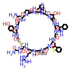 CCCC[C@H]1C(=O)N[C@@H](CCCNC(=N)N)C(=O)NC(C(=O)NCC(N)=O)CSCC(=O)N[C@@H](Cc2ccc(O)cc2)C(=O)N(C)[C@@H](C)C(=O)N[C@@H](CC(N)=O)C(=O)N2CCC[C@H]2C(=O)N[C@@H](Cc2cnc[nH]2)C(=O)N[C@@H](CC(C)C)C(=O)N2C[C@H](O)C[C@H]2C(=O)N[C@@H](Cc2c[nH]c3ccccc23)C(=O)N[C@@H](C)C(=O)N[C@@H](Cc2csc3ccccc23)C(=O)N(C)[C@@H](C)C(=O)N1C